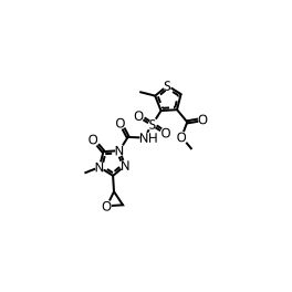 COC(=O)c1csc(C)c1S(=O)(=O)NC(=O)n1nc(C2CO2)n(C)c1=O